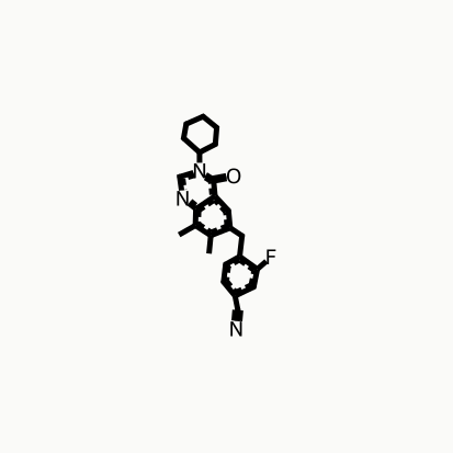 Cc1c(Cc2ccc(C#N)cc2F)cc2c(=O)n(C3CCCCC3)cnc2c1C